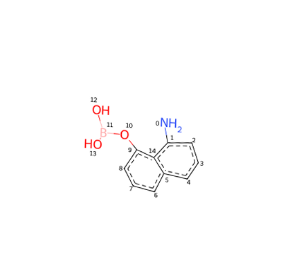 Nc1cccc2cccc(OB(O)O)c12